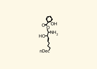 CCCCCCCCCCCCCC=CC(O)C(N)COC(=O)c1ccccc1O